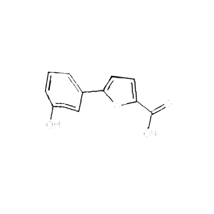 O=C(O)c1ccc(-c2cccc(O)c2)o1